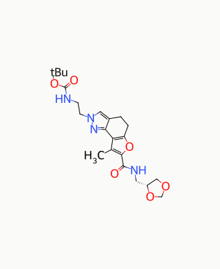 Cc1c(C(=O)NC[C@@H]2COCO2)oc2c1-c1nn(CCNC(=O)OC(C)(C)C)cc1CC2